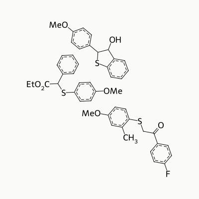 CCOC(=O)C(Sc1ccc(OC)cc1)c1ccccc1.COc1ccc(C2Sc3ccccc3C2O)cc1.COc1ccc(SCC(=O)c2ccc(F)cc2)c(C)c1